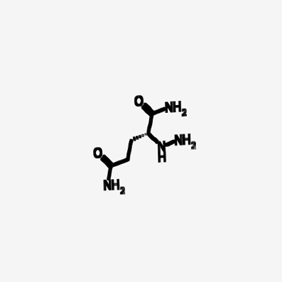 NN[C@H](CCC(N)=O)C(N)=O